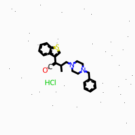 CC(CN1CCN(Cc2ccccc2)CC1)C(=C=O)c1csc2ccccc12.Cl